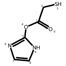 O=C(CS)Oc1ncc[nH]1